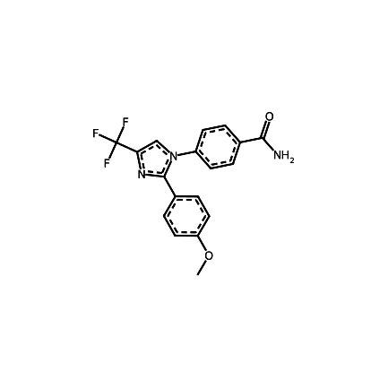 COc1ccc(-c2nc(C(F)(F)F)cn2-c2ccc(C(N)=O)cc2)cc1